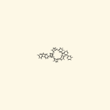 c1ccc(-c2cccc3c2c2ccc4cc2n3-c2cccc(c2)-c2cccc(c2)-c2nc(nc(-c3ccc5c(c3)sc3ccccc35)n2)-c2cccc-4c2)cc1